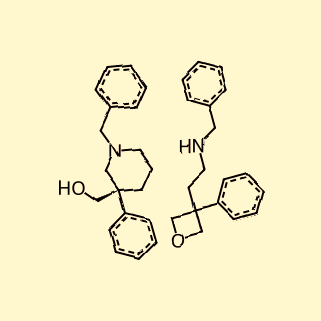 OC[C@]1(c2ccccc2)CCCN(Cc2ccccc2)C1.c1ccc(CNCCC2(c3ccccc3)COC2)cc1